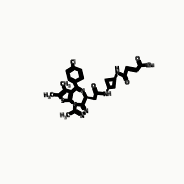 Cc1sc2c(c1C)C(c1ccc(Cl)cc1)=N[C@@H](CC(=O)N[C@H]1C[C@H](NC(=O)/C=C/C(=O)C(C)(C)C)C1)c1nnc(C)n1-2